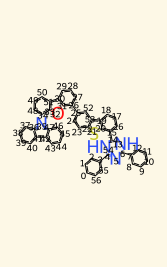 c1ccc(C2=NC(c3ccccc3)NC(c3cccc4c3sc3ccc(-c5cccc6c5oc5c(-n7c8ccccc8c8ccccc87)cccc56)cc34)N2)cc1